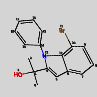 CC(C)(O)c1cc2cccc(Br)c2n1-c1ccccc1